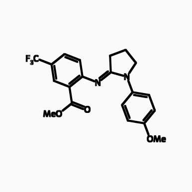 COC(=O)c1cc(C(F)(F)F)ccc1N=C1CCCN1c1ccc(OC)cc1